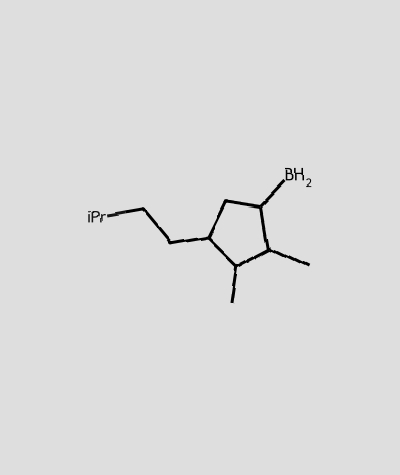 BC1CC(CCC(C)C)C(C)C1C